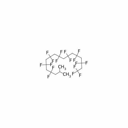 CC(C)CC(F)(F)CC(F)(F)CC(F)(F)CC(F)(F)CC(F)(F)CC(F)(F)CC(F)(F)CC(F)(F)F